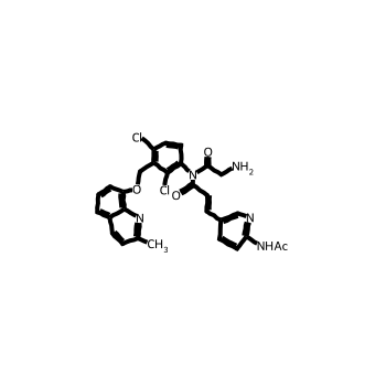 CC(=O)Nc1ccc(/C=C/C(=O)N(C(=O)CN)c2ccc(Cl)c(COc3cccc4ccc(C)nc34)c2Cl)cn1